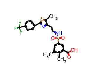 Cc1cc(S(=O)(=O)NCCc2nc(-c3ccc(C(F)(F)F)cc3)sc2C)cc(C(=O)O)c1C